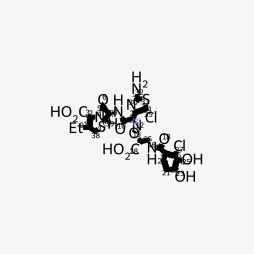 CCC1=C(C(=O)O)N2C(=O)[C@@H](NC(=O)/C(=N\OC(CNC(=O)c3ccc(O)c(O)c3Cl)C(=O)O)c3nc(N)sc3Cl)[C@H]2SC1